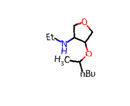 CCCCC(C)OC1COCC1NCC